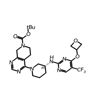 CC(C)(C)OC(=O)N1CCc2c(ncnc2N2CCC[C@@H](Nc3ncc(C(F)(F)F)c(OC4COC4)n3)C2)C1